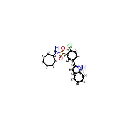 O=S(=O)(NC1CCCCCC1)c1cc(-c2[c]c3ccccc3[nH]2)ccc1Cl